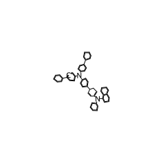 C1=CC(c2ccc(N(c3ccc(-c4ccccc4)cc3)c3ccc(-c4ccccc4)cc3)cc2)CC=C1N(c1ccccc1)c1cccc2ccccc12